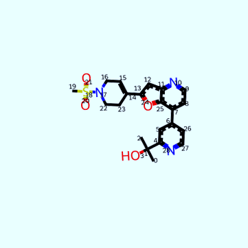 CC(C)(O)c1cc(-c2ccnc3cc(C4=CCN(S(C)(=O)=O)CC4)oc23)ccn1